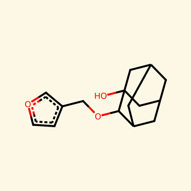 OC12CC3CC(CC(C3)C1OCc1ccoc1)C2